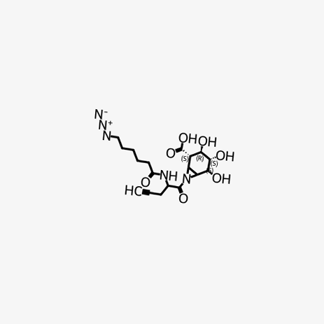 C#CCC(NC(=O)CCCCCN=[N+]=[N-])C(=O)N1C2C1[C@H](C(=O)O)[C@@H](O)[C@H](O)[C@H]2O